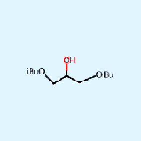 CC(C)COCC(O)COCC(C)C